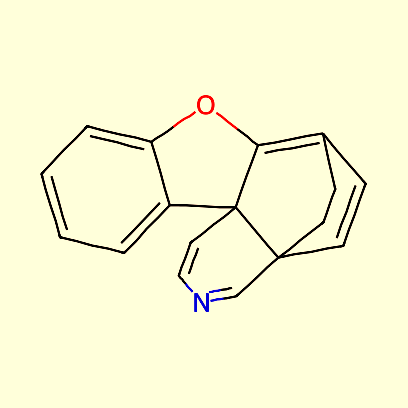 C1=CC23C(=C4C=CC2(C=N1)CC4)Oc1ccccc13